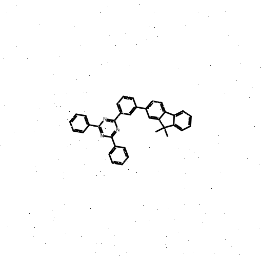 CC1(C)c2ccccc2-c2ccc(-c3cccc(-c4nc(-c5ccccc5)nc(-c5ccccc5)n4)c3)cc21